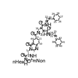 CCCCCCCCCC(=O)NC(Cn1cnc2ccc(C(=O)N3C[C@@H](C(=O)N[C@H]4C[C@@H]4c4ccccc4)[C@H](C(=O)N[C@H]4C[C@@H]4c4ccccc4)C3)cc2c1=O)C(=O)NCCCCCC